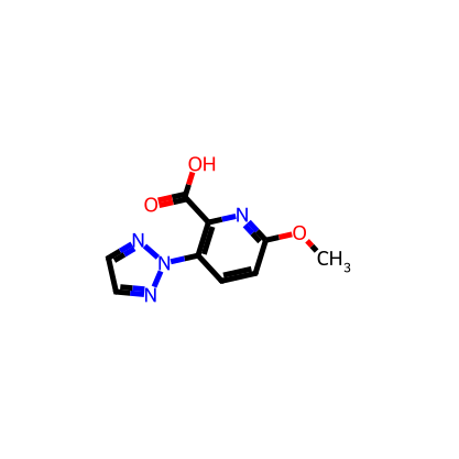 COc1ccc(-n2nccn2)c(C(=O)O)n1